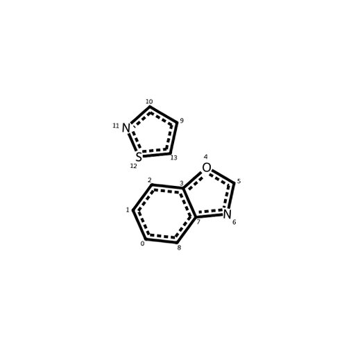 c1ccc2ocnc2c1.c1cnsc1